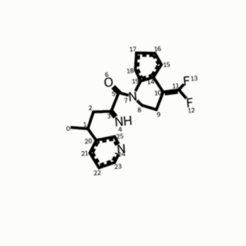 CC(CC(=N)C(=O)N1CCC(=C(F)F)c2ccccc21)c1cccnc1